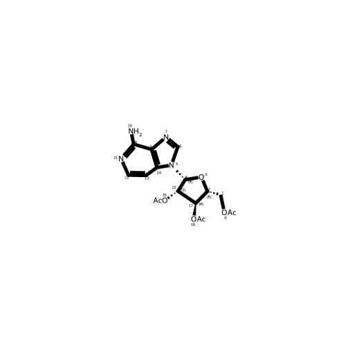 CC(=O)OC[C@H]1O[C@@H](n2cnc3c(N)nccc32)[C@@H](OC(C)=O)[C@@H]1OC(C)=O